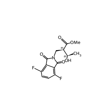 COC(=O)[C@H](CN1C(=O)c2c(F)ccc(F)c2C1=O)[C@@H](C)O